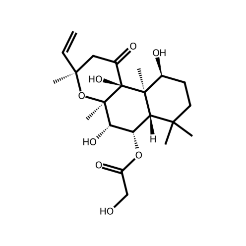 C=C[C@@]1(C)CC(=O)[C@]2(O)[C@@]3(C)[C@@H](O)CCC(C)(C)[C@@H]3[C@H](OC(=O)CO)[C@H](O)[C@@]2(C)O1